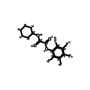 O=C(Oc1c(F)c(F)c(F)c(F)c1F)C(=O)OC1CCCCC1